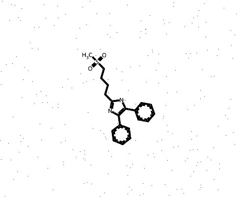 CS(=O)(=O)CCCCC1=NC(c2ccccc2)=C(c2ccccc2)[N]1